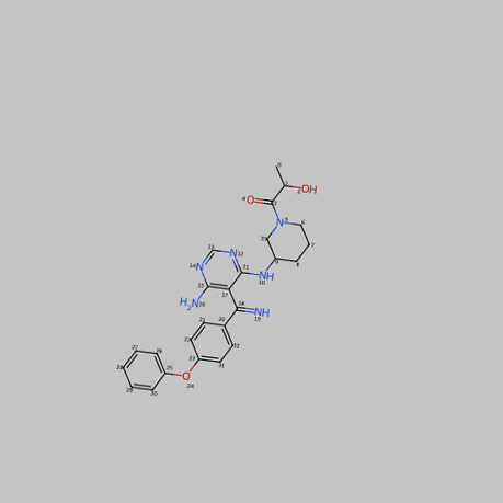 CC(O)C(=O)N1CCCC(Nc2ncnc(N)c2C(=N)c2ccc(Oc3ccccc3)cc2)C1